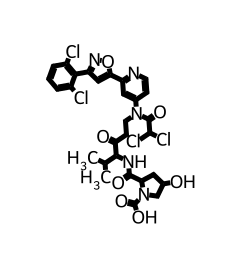 CC(C)C(NC(=O)C1CC(O)CN1C(=O)O)C(=O)CCN(C(=O)C(Cl)Cl)c1ccnc(-c2cc(-c3c(Cl)cccc3Cl)no2)c1